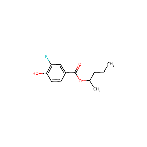 CCCC(C)OC(=O)c1ccc(O)c(F)c1